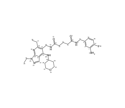 Bc1cc(CNC(=O)CCCC(=O)NCc2c(CC)nc3c(cnn3CC)c2NC2CCOCC2)ccc1F